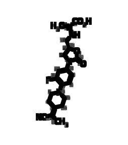 CC(C#N)=C1CCN(c2ccc(N3C[C@@H](CNN(C)C(=O)O)OC3=O)cc2F)CC1